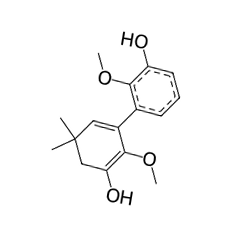 COC1=C(O)CC(C)(C)C=C1c1cccc(O)c1OC